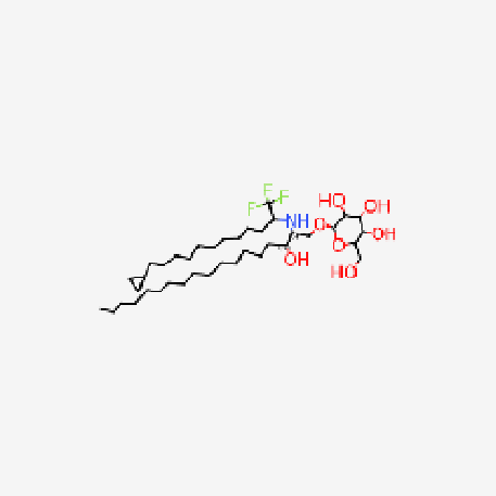 CCCCCCCCCCCCCCC[C@@H](O)[C@H](COC1OC(CO)C(O)C(O)C1O)NC(CCCCCCCCCCC1CC1)C(F)(F)F